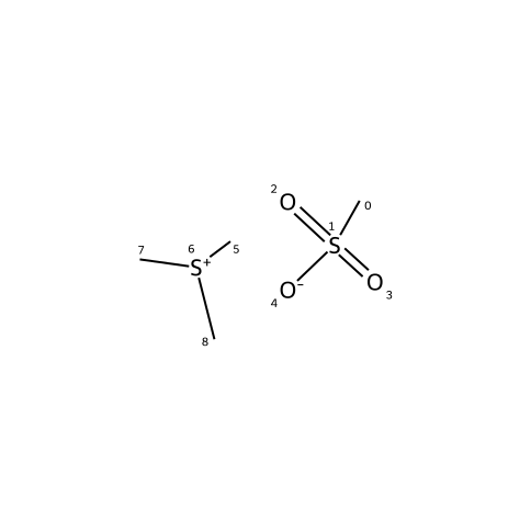 CS(=O)(=O)[O-].C[S+](C)C